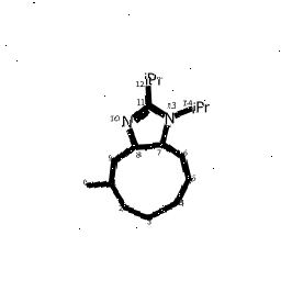 CC1CCCCCC2C(C1)N=C(C(C)C)N2C(C)C